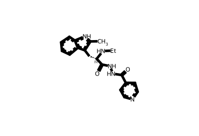 CCN[C@@H](Cc1c(C)[nH]c2ccccc12)C(=O)NNC(=O)c1ccncc1